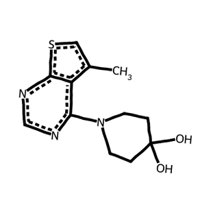 Cc1csc2ncnc(N3CCC(O)(O)CC3)c12